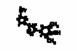 CCCc1ccc(-c2nc(-c3cc(C)c(O)c(C)c3)no2)s1